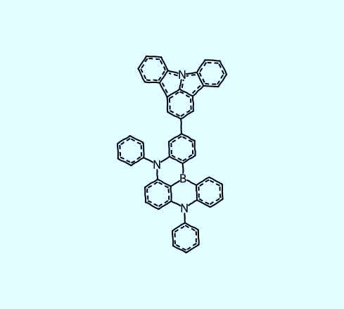 c1ccc(N2c3ccccc3B3c4ccc(-c5cc6c7ccccc7n7c8ccccc8c(c5)c67)cc4N(c4ccccc4)c4cccc2c43)cc1